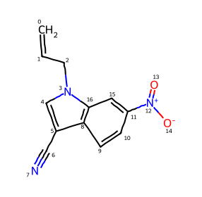 C=CCn1cc(C#N)c2ccc([N+](=O)[O-])cc21